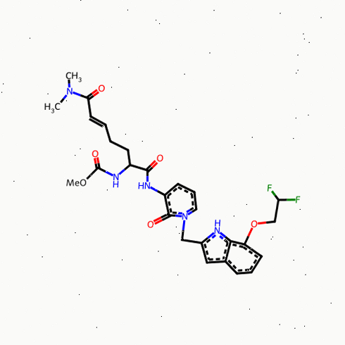 COC(=O)NC(CCC=CC(=O)N(C)C)C(=O)Nc1cccn(Cc2cc3cccc(OCC(F)F)c3[nH]2)c1=O